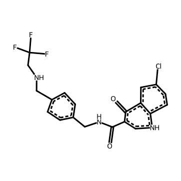 O=C(NCc1ccc(CNCC(F)(F)F)cc1)c1c[nH]c2ccc(Cl)cc2c1=O